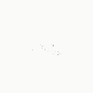 O=C(O)[C@H]1CC[C@H](NS(=O)(=O)c2ccc3c(c2)C(=NO)c2cc(S(=O)(=O)NC4CC5CCC4C5)ccc2-3)CC1